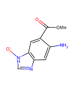 COC(=O)c1cc2c(cc1N)N=C[NH+]2[O-]